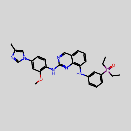 CCP(=O)(CC)c1cccc(Nc2cccc3cnc(Nc4ccc(-n5cnc(C)c5)cc4OC)nc23)c1